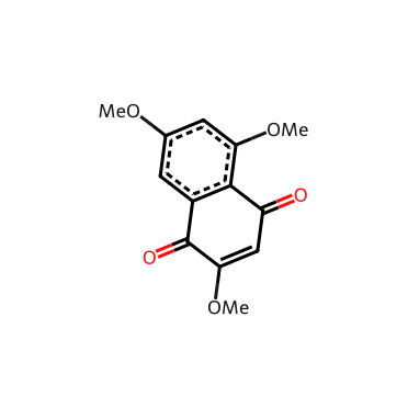 COC1=CC(=O)c2c(OC)cc(OC)cc2C1=O